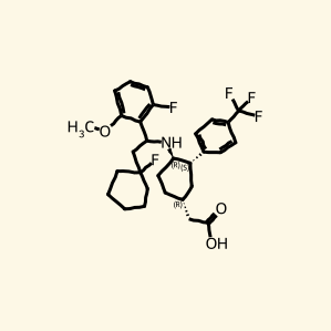 COc1cccc(F)c1C(CC1(F)CCCCC1)N[C@@H]1CC[C@@H](CC(=O)O)C[C@H]1c1ccc(C(F)(F)F)cc1